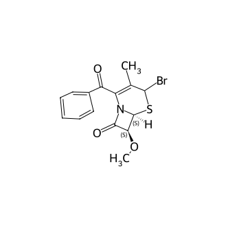 CO[C@H]1C(=O)N2C(C(=O)c3ccccc3)=C(C)C(Br)S[C@@H]12